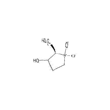 O=C(O)[C@@H]1C(O)CC[N+]1(Cl)Cl